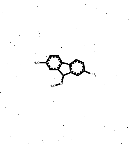 COC1c2cc(C)ccc2-c2ccc(C)cc21